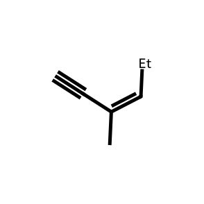 C#CC(C)=CCC